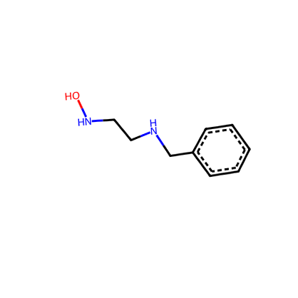 ONCCNCc1ccccc1